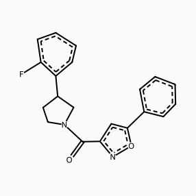 O=C(c1cc(-c2ccccc2)on1)N1CCC(c2ccccc2F)C1